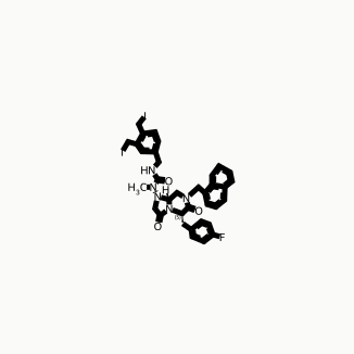 CN(C(=O)NCc1ccc(CI)c(CI)c1)N1CC(=O)N2[C@@H](Cc3ccc(F)cc3)C(=O)N(Cc3cccc4ccccc34)C[C@@H]21